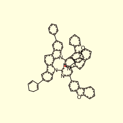 C1=CC(c2ccc3c(c2)c2ccc4c5cc(-c6ccccc6)ccc5n(-c5cnc6ccc7cccnc7c6c5)c4c2n3-c2nc(-c3ccc4oc5ccccc5c4c3)cc(-c3ccc4oc5ccccc5c4c3)n2)=CCC1